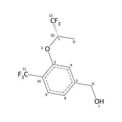 C[C@H](Oc1cc(CO)ccc1C(F)(F)F)C(F)(F)F